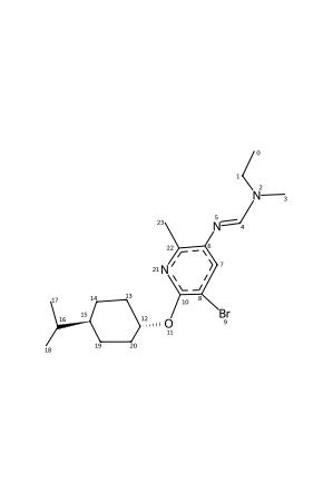 CCN(C)/C=N/c1cc(Br)c(O[C@H]2CC[C@H](C(C)C)CC2)nc1C